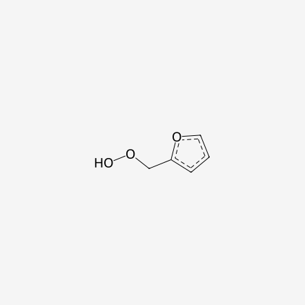 OOCc1ccco1